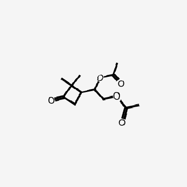 CC(=O)OCC(OC(C)=O)C1CC(=O)C1(C)C